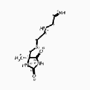 C[C@@]1(CSCCNCC=N)NC(=O)NC1=O